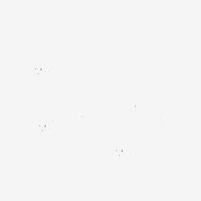 [CH2]c1c(Cl)c(Cl)c(OC)c(OC)c1OC